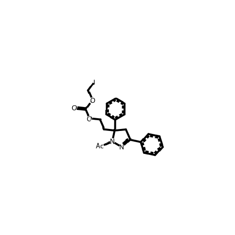 CC(=O)N1N=C(c2ccccc2)CC1(CCOC(=O)OCI)c1ccccc1